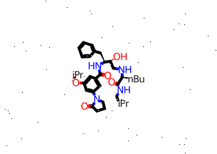 CCCC[C@H](NC[C@@H](O)[C@H](Cc1ccccc1)NC(=O)c1cc(OC(C)C)cc(N2CCCC2=O)c1)C(=O)NCC(C)C